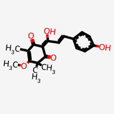 COC1=C(C)C(=O)/C(=C(O)/C=C/c2ccc(O)cc2)C(=O)C1(C)C